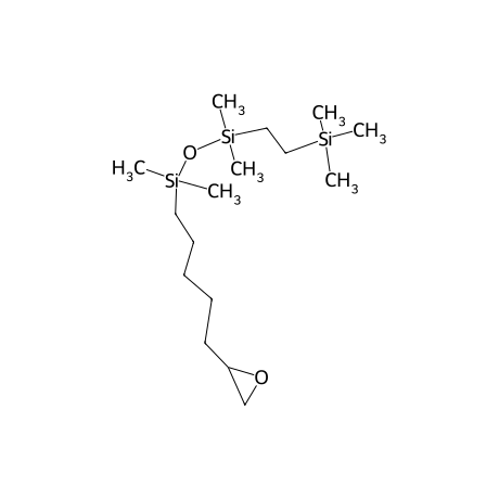 C[Si](C)(C)CC[Si](C)(C)O[Si](C)(C)CCCCCC1CO1